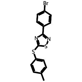 Cc1ccc(Sc2nc(-c3ccc(Br)cc3)ns2)cc1